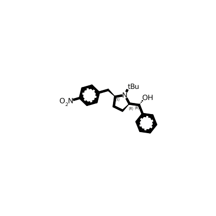 CC(C)(C)N1[C@H](Cc2ccc([N+](=O)[O-])cc2)CC[C@@H]1[C@H](O)c1ccccc1